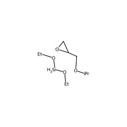 CC(C)OCC1CO1.CCO[SiH2]OCC